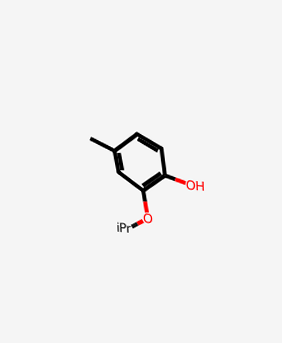 Cc1ccc(O)c(OC(C)C)c1